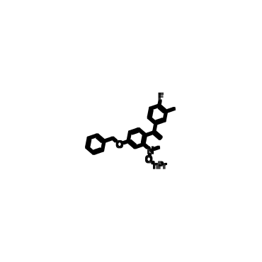 C=C(c1ccc(F)c(C)c1)c1ccc(OCc2ccccc2)cc1N(C)OCCC